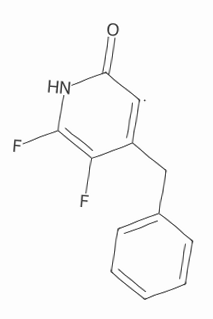 O=c1[c]c(Cc2ccccc2)c(F)c(F)[nH]1